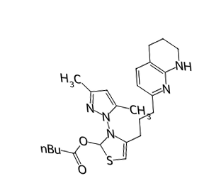 CCCCC(=O)OC1SC=C(CCCc2ccc3c(n2)NCCC3)N1n1nc(C)cc1C